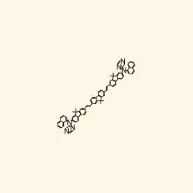 CC1(C)c2cc(/C=C/c3ccc4c(c3)C(C)(C)c3cc(N(c5cnccn5)c5cccc6ccccc56)ccc3-4)ccc2-c2ccc(/C=C/c3ccc4c(c3)C(C)(C)c3cc(N(c5cnccn5)c5cccc6ccccc56)ccc3-4)cc21